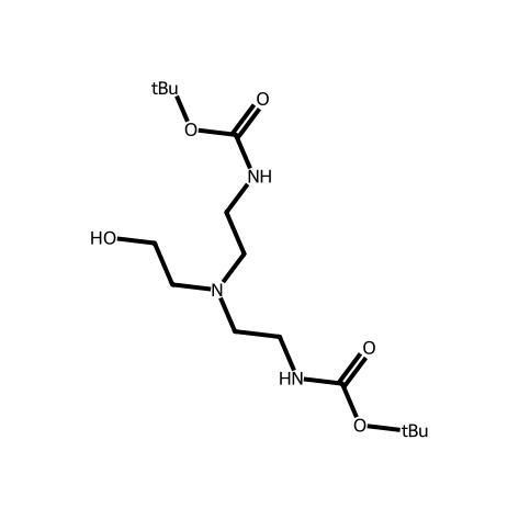 CC(C)(C)OC(=O)NCCN(CCO)CCNC(=O)OC(C)(C)C